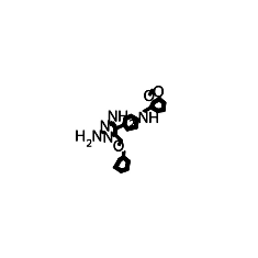 Nc1nc(N)c(-c2ccc(NCc3cccc4c3OCO4)cc2)c(COCc2ccccc2)n1